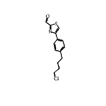 O=Cc1nc(-c2ccc(CCCCCl)cc2)cs1